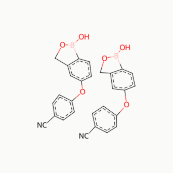 N#Cc1ccc(Oc2ccc3c(c2)COB3O)cc1.N#Cc1ccc(Oc2ccc3c(c2)COB3O)cc1